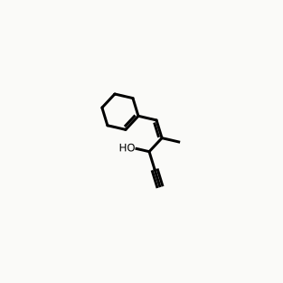 C#CC(O)C(C)=CC1=CCCCC1